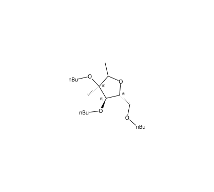 CCCCOC[C@H]1OC(C)[C@](C)(OCCCC)[C@@H]1OCCCC